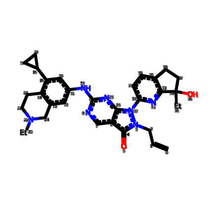 C=CCn1c(=O)c2cnc(Nc3cc4c(c(C5CC5)c3)CCN(CC)C4)nc2n1-c1ccc2c(n1)C(O)(CC)CC2